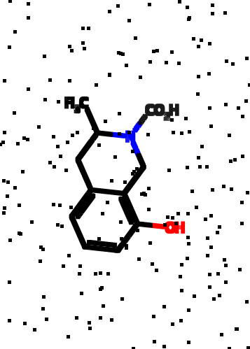 CC1Cc2cccc(O)c2CN1C(=O)O